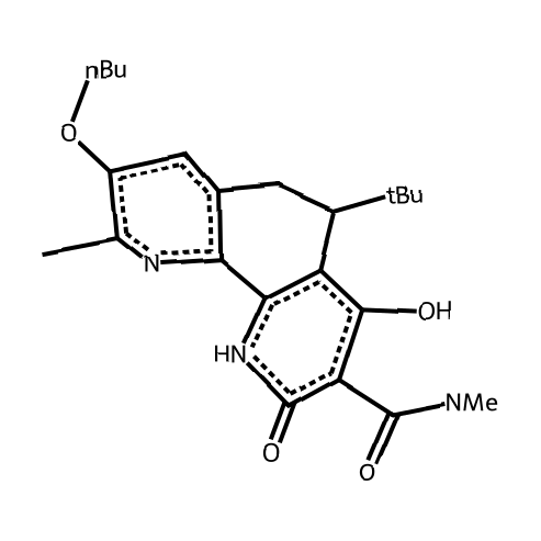 CCCCOc1cc2c(nc1C)-c1[nH]c(=O)c(C(=O)NC)c(O)c1C(C(C)(C)C)C2